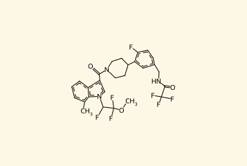 COC(F)(F)C(F)n1cc(C(=O)N2CCC(c3cc(CNC(=O)C(F)(F)F)ccc3F)CC2)c2cccc(C)c21